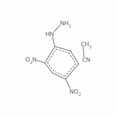 CC#N.NNc1ccc([N+](=O)[O-])cc1[N+](=O)[O-]